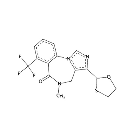 CN1Cc2c(C3OCCS3)ncn2-c2cccc(C(F)(F)F)c2C1=O